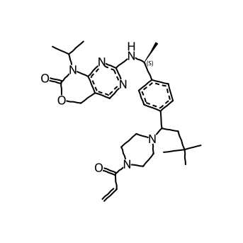 C=CC(=O)N1CCN(C(CC(C)(C)C)c2ccc([C@H](C)Nc3ncc4c(n3)N(C(C)C)C(=O)OC4)cc2)CC1